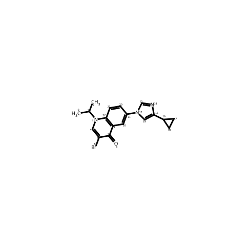 CC(C)n1cc(Br)c(=O)c2cc(-n3cnc(C4CC4)c3)ccc21